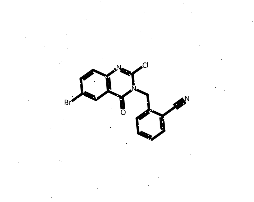 N#Cc1ccccc1Cn1c(Cl)nc2ccc(Br)cc2c1=O